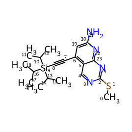 CSc1ncc2c(C#C[Si](C(C)C)(C(C)C)C(C)C)cc(N)nc2n1